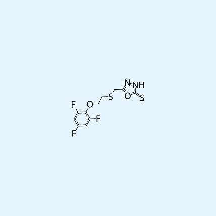 Fc1cc(F)c(OCCSCc2n[nH]c(=S)o2)c(F)c1